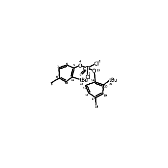 [CH2]=[Ti]([Cl])([Cl])([O]c1ccc(C)cc1C(C)(C)C)[O]c1ccc(C)cc1C(C)(C)C